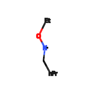 CCCC[N]OCC